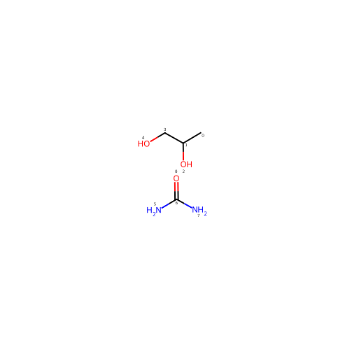 CC(O)CO.NC(N)=O